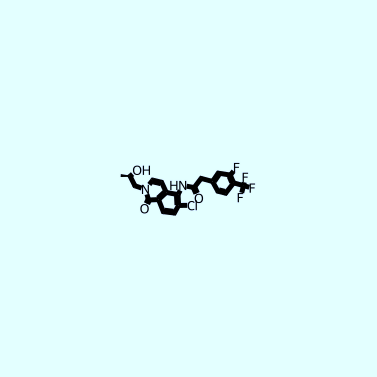 C[C@@H](O)Cn1ccc2c(NC(=O)Cc3ccc(C(F)(F)F)c(F)c3)c(Cl)ccc2c1=O